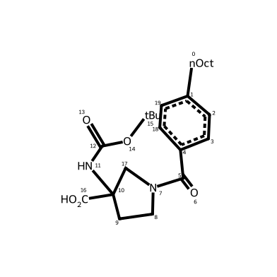 CCCCCCCCc1ccc(C(=O)N2CCC(NC(=O)OC(C)(C)C)(C(=O)O)C2)cc1